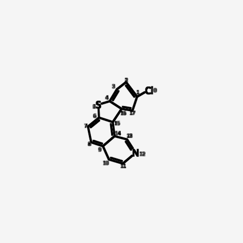 Clc1ccc2sc3ccc4ccncc4c3c2c1